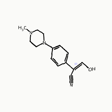 CN1CCN(c2ccc(/C(C#N)=C/O)cc2)CC1